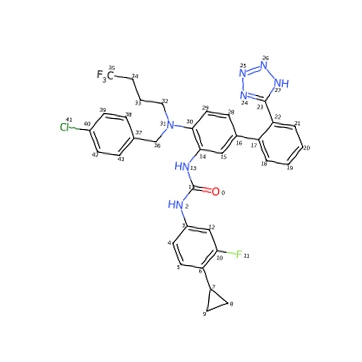 O=C(Nc1ccc(C2CC2)c(F)c1)Nc1cc(-c2ccccc2-c2nnn[nH]2)ccc1N(CCCC(F)(F)F)Cc1ccc(Cl)cc1